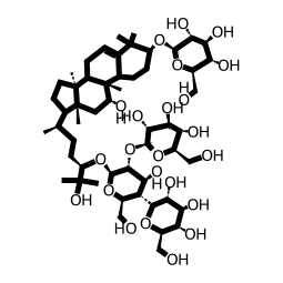 C[C@H](CC[C@@H](O[C@@H]1O[C@H](CO)[C@@H](C2O[C@H](CO)[C@@H](O)[C@H](O)[C@H]2O)[C@H](O)[C@H]1O[C@@H]1O[C@H](CO)[C@@H](O)[C@H](O)[C@H]1O)C(C)(C)O)C1CC[C@@]2(C)C3CC=C4C(CC[C@H](O[C@@H]5O[C@H](CO)[C@@H](O)[C@H](O)[C@H]5O)C4(C)C)[C@]3(C)[C@H](O)C[C@]12C